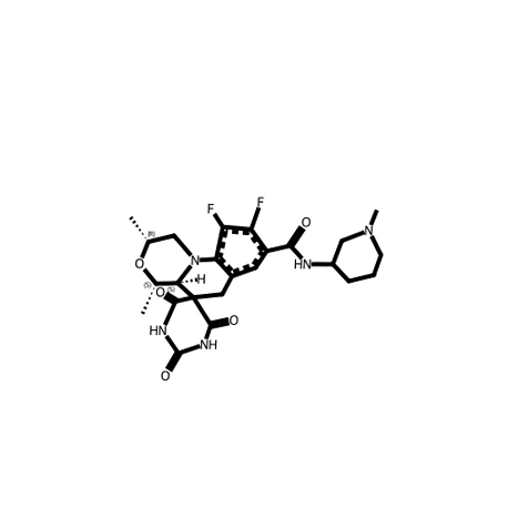 C[C@@H]1CN2c3c(cc(C(=O)NC4CCCN(C)C4)c(F)c3F)CC3(C(=O)NC(=O)NC3=O)[C@H]2[C@H](C)O1